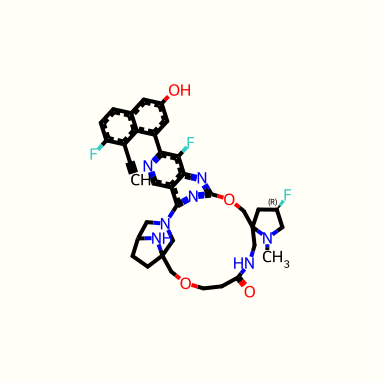 C#Cc1c(F)ccc2cc(O)cc(-c3ncc4c5nc(nc4c3F)OCC3(CNC(=O)CCOCC46CCC(CN5C4)N6)C[C@@H](F)CN3C)c12